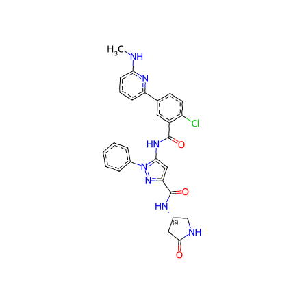 CNc1cccc(-c2ccc(Cl)c(C(=O)Nc3cc(C(=O)N[C@@H]4CNC(=O)C4)nn3-c3ccccc3)c2)n1